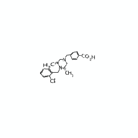 C[C@@H]1CN(Cc2ccc(C(=O)O)cc2)C[C@H](C)N1Cc1ccccc1Cl